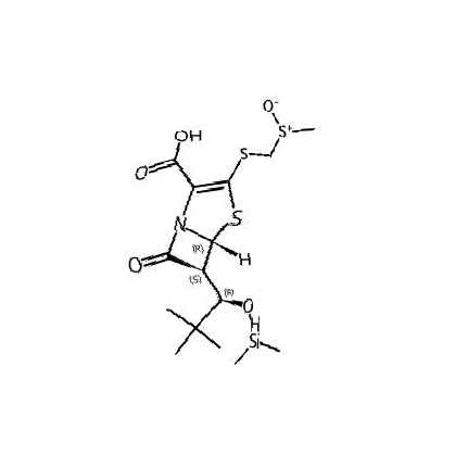 C[SiH](C)O[C@H]([C@H]1C(=O)N2C(C(=O)O)=C(SC[S+](C)[O-])S[C@H]12)C(C)(C)C